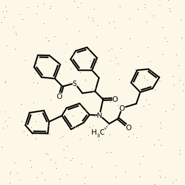 C[C@@H](C(=O)OCc1ccccc1)N(C(=O)C(CSC(=O)c1ccccc1)Cc1ccccc1)c1ccc(-c2ccccc2)cc1